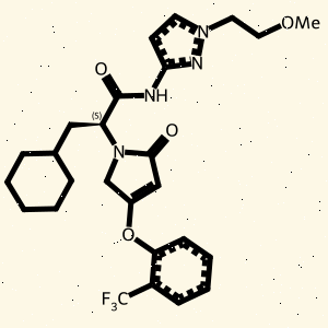 COCCn1ccc(NC(=O)[C@H](CC2CCCCC2)N2CC(Oc3ccccc3C(F)(F)F)=CC2=O)n1